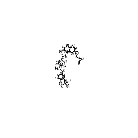 CC1CC1COc1cnc2ccc(=O)n(CCC34CCC(NCc5ccc6c(n5)NC(=O)CO6)(CC3)CO4)c2c1